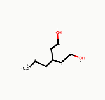 O=S(=O)(O)CCC(CCO)CCO